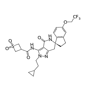 O=C1N[C@@]2(CCc3cc(OCC(F)(F)F)ccc32)Cc2nn(CCC3CC3)c(NC(=O)C3CS(=O)(=O)C3)c21